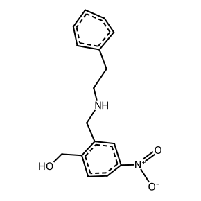 O=[N+]([O-])c1ccc(CO)c(CNCCc2ccccc2)c1